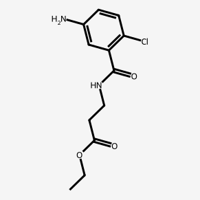 CCOC(=O)CCNC(=O)c1cc(N)ccc1Cl